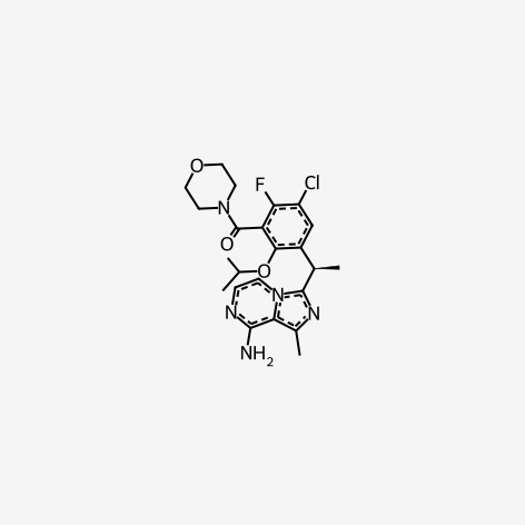 Cc1nc([C@H](C)c2cc(Cl)c(F)c(C(=O)N3CCOCC3)c2OC(C)C)n2ccnc(N)c12